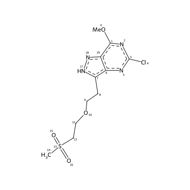 COc1nc(Cl)nc2c(CCOCCS(C)(=O)=O)[nH]nc12